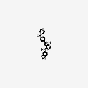 O=C(N1CC=C(c2cc3c(Nc4ccc5ncsc5c4)ncnc3[nH]2)CC1)N1CCSCC1